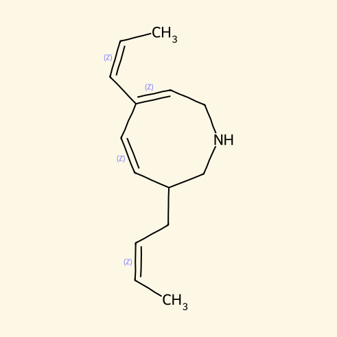 C/C=C\CC1\C=C/C(/C=C\C)=C\CNC1